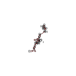 CCC12CC(C3=C(CN4CCN(c5ccc(C(=O)NS(=O)(=O)c6ccc(N[C@H](CCN7CCN(C(=O)CCCCCCNc8ccc9c(c8)C(=O)N(C8CCC(=O)NC8=O)C9=O)CC7)CSc7ccccc7)c(S(=O)(=O)C(F)(F)F)c6)cc5)CC4)CCC(C)(C)C3)(C1)C2